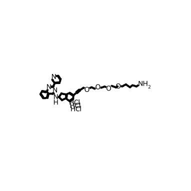 Cl.Cl.Cl.NCCCCCOCCOCCOCCOCC#Cc1ccc2c(c1)CC(Nc1nc(-c3cccnc3)nc3ccccc13)C2